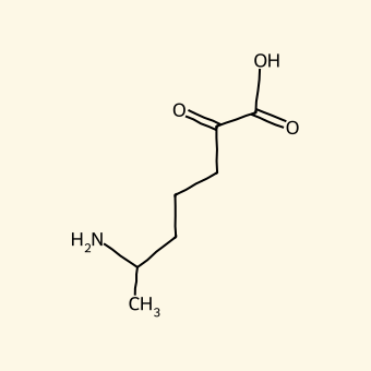 CC(N)CCCC(=O)C(=O)O